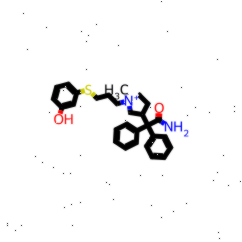 C[N+]1(CCCSc2cccc(O)c2)CCC(C(C(N)=O)(c2ccccc2)c2ccccc2)C1